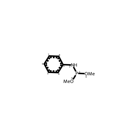 COP(Nc1ccccc1)OC